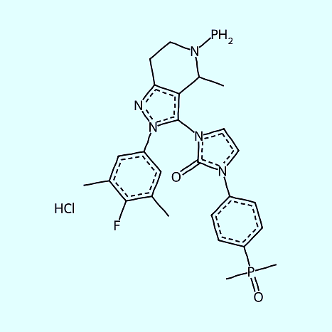 Cc1cc(-n2nc3c(c2-n2ccn(-c4ccc(P(C)(C)=O)cc4)c2=O)C(C)N(P)CC3)cc(C)c1F.Cl